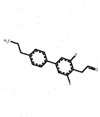 CCCc1ccc(-c2cc(F)c(CC=O)c(F)c2)cc1